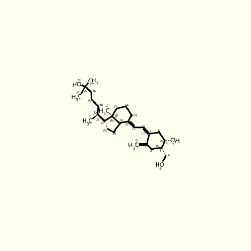 C=C1C[C@@H](CO)[C@@H](O)C/C1=C/C=C1CCC[C@@]2(C)C1CC[C@@H]2[C@@H](C)CCCC(C)(C)O